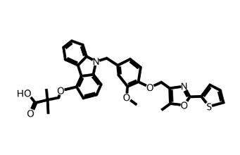 COc1cc(Cn2c3ccccc3c3c(OCC(C)(C)C(=O)O)cccc32)ccc1OCc1nc(-c2cccs2)oc1C